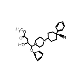 COC(=O)CC(O)C(Oc1ccccc1)N1CCN(C2CCC(C#N)(c3ccccc3)CC2)CC1